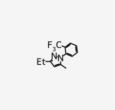 CCc1cc(C)n(-c2ccccc2C(F)(F)F)n1